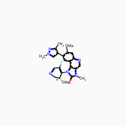 COc1cc2ncc3c(c2cc1-c1cn(C)nc1C)n(C1=C(F)C=NC[C@H]1OC)c(=O)n3C